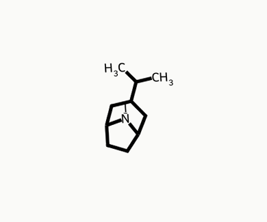 CC(C)C1CC2CCC(C1)N2I